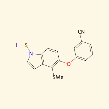 CSc1c(Oc2cccc(C#N)c2)ccc2c1ccn2SI